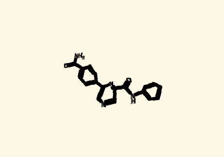 NC(=O)c1ccc(-c2cncc(C(=O)Nc3ccccc3)n2)cc1